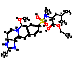 CCOC(=O)[C@H](CC(C)C)N(C)S(=O)(=O)c1ccc(Cc2c3nc(C)nc-3ccn2COC)cc1